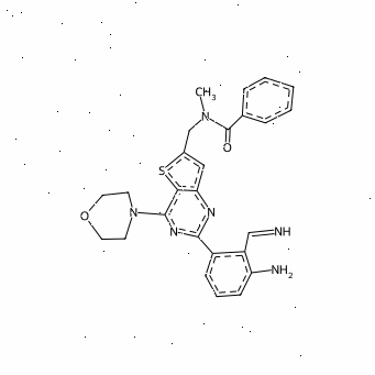 CN(Cc1cc2nc(-c3cccc(N)c3C=N)nc(N3CCOCC3)c2s1)C(=O)c1ccccc1